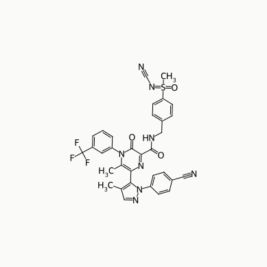 Cc1cnn(-c2ccc(C#N)cc2)c1-c1nc(C(=O)NCc2ccc(S(C)(=O)=NC#N)cc2)c(=O)n(-c2cccc(C(F)(F)F)c2)c1C